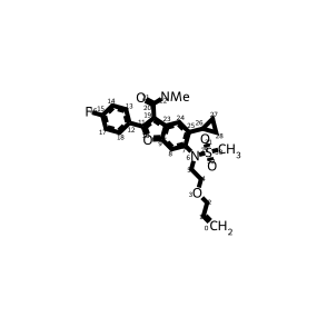 C=CCOCCN(c1cc2oc(-c3ccc(F)cc3)c(C(=O)NC)c2cc1C1CC1)S(C)(=O)=O